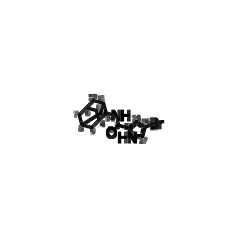 O=C(NC1C2CC3CC(C2)CC1C3)c1cc(Br)c[nH]1